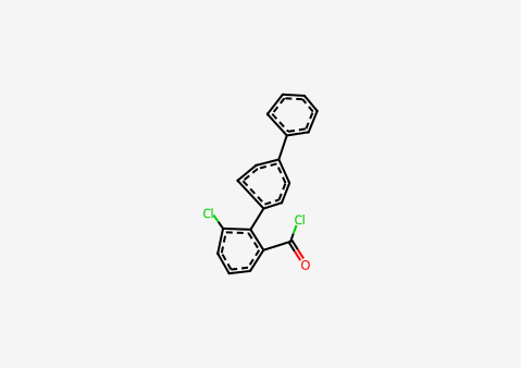 O=C(Cl)c1cccc(Cl)c1-c1ccc(-c2ccccc2)cc1